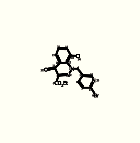 CCOC(=O)c1nn(Cc2ccc(Br)nc2)c2c(Cl)cccc2c1=O